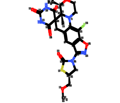 C[C@@H]1OCCN2c3c(cc4c(N5C[C@H](COC(F)(F)F)SC5=O)noc4c3F)CC3(C(=O)NC(=O)NC3=O)[C@@H]12